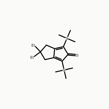 CCC1(CC)CC2=C([Si](C)(C)C)C(=O)C([Si](C)(C)C)=C2C1